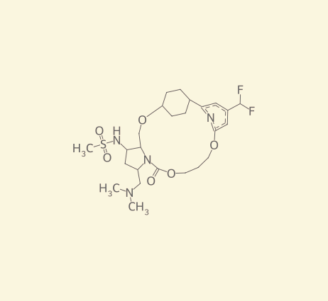 CN(C)CC1CC(NS(C)(=O)=O)C2COC3CCC(CC3)c3cc(C(F)F)cc(n3)OCCCOC(=O)N12